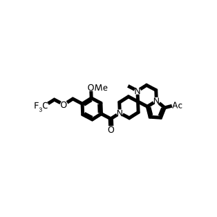 COc1cc(C(=O)N2CCC3(CC2)c2ccc(C(C)=O)n2CCN3C)ccc1COCC(F)(F)F